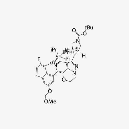 COCOc1cc(-c2ncc3c(C4[C@H]5CN(C(=O)OC(C)(C)C)C[C@@H]45)nn4c3c2OCC4)c2c(C#C[Si](C(C)C)(C(C)C)C(C)C)c(F)ccc2c1